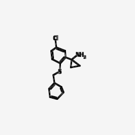 NC1(c2cc(Cl)ccc2SCc2ccccc2)CC1